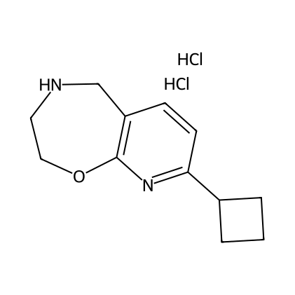 Cl.Cl.c1cc2c(nc1C1CCC1)OCCNC2